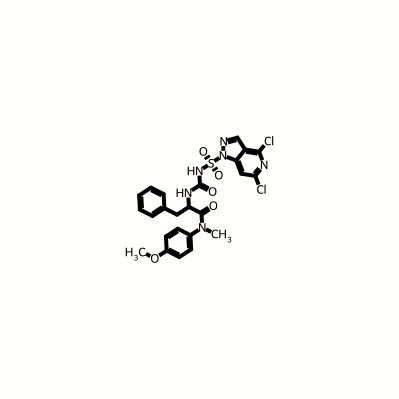 COc1ccc(N(C)C(=O)C(Cc2ccccc2)NC(=O)NS(=O)(=O)n2ncc3c(Cl)nc(Cl)cc32)cc1